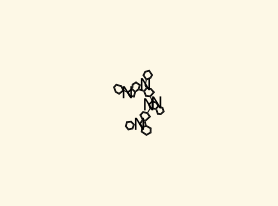 c1ccc(-n2ccc3c4c5cc(-c6nc(-c7ccc8c(c7)c7ccccc7n8-c7ccccc7)c7ccccc7n6)ccc5n(-c5ccccc5)c4ccc32)cc1